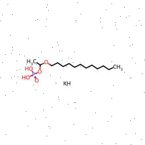 CCCCCCCCCCCCOC(C)OP(=O)(O)O.[KH]